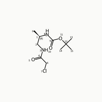 C[C@H](CNC(=O)CCl)NC(=O)OC(C)(C)C